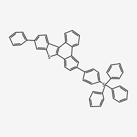 c1ccc(-c2ccc3c(c2)sc2c4ccc(-c5ccc([Si](c6ccccc6)(c6ccccc6)c6ccccc6)cc5)cc4c4ccccc4c32)cc1